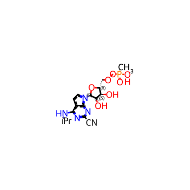 CC(C)Nc1nc(C#N)nc2c1ccn2[C@@H]1O[C@H](COOP(C)(=O)O)[C@@H](O)[C@H]1O